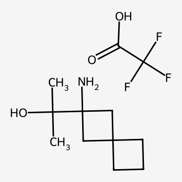 CC(C)(O)C1(N)CC2(CCC2)C1.O=C(O)C(F)(F)F